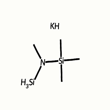 CN([SiH3])[Si](C)(C)C.[KH]